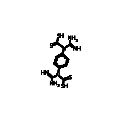 N=C(N)N(C(=S)S)c1ccc(N(C(=N)N)C(=S)S)cc1